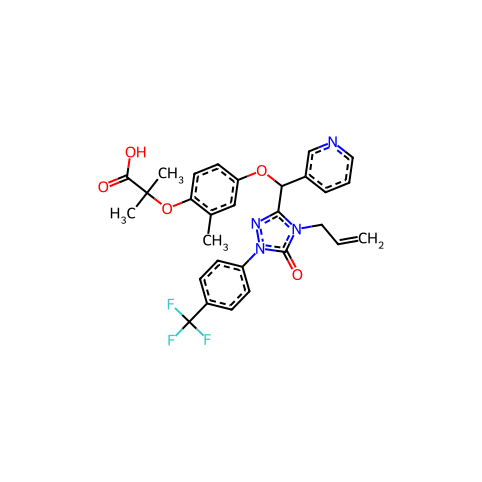 C=CCn1c(C(Oc2ccc(OC(C)(C)C(=O)O)c(C)c2)c2cccnc2)nn(-c2ccc(C(F)(F)F)cc2)c1=O